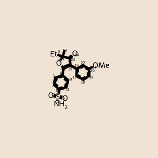 CCC1(C)OC(c2ccc(S(N)(=O)=O)cc2)=C(c2cccc(OC)c2)C1=O